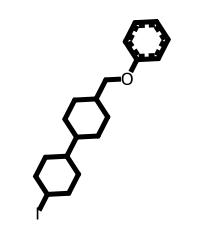 IC1CCC(C2CCC(COc3ccccc3)CC2)CC1